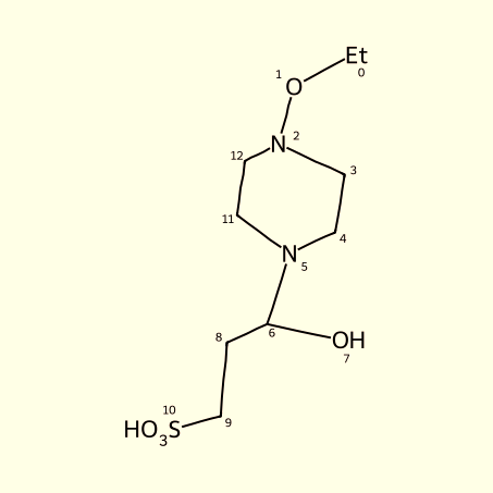 CCON1CCN(C(O)CCS(=O)(=O)O)CC1